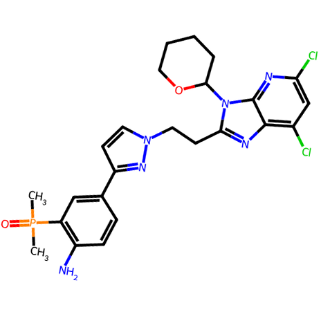 CP(C)(=O)c1cc(-c2ccn(CCc3nc4c(Cl)cc(Cl)nc4n3C3CCCCO3)n2)ccc1N